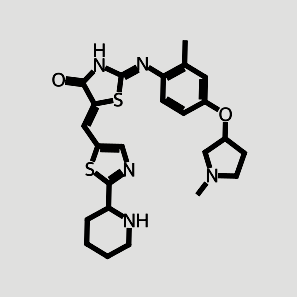 Cc1cc(OC2CCN(C)C2)ccc1/N=C1/NC(=O)/C(=C/c2cnc(C3CCCCN3)s2)S1